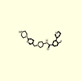 O=C(NC1CCN(Cc2ccc(N3CCNCC3)nc2)CC1)c1ccc(F)c(-c2cccnc2)c1